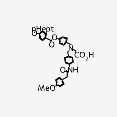 CCCCCCCOc1ccc(C(=O)Oc2ccc(CN(CC(=O)O)Cc3ccc(NC(=O)Cc4ccc(OC)cc4)cc3)cc2)cc1